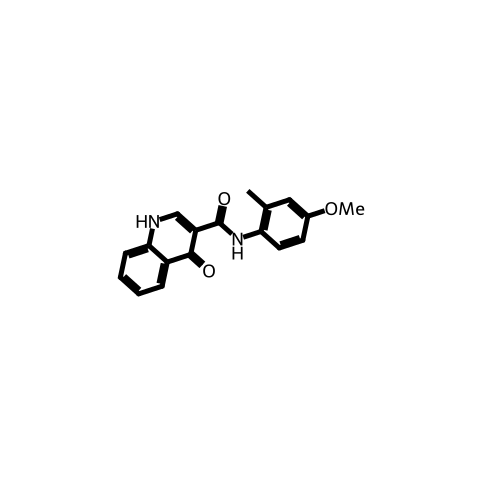 COc1ccc(NC(=O)c2c[nH]c3ccccc3c2=O)c(C)c1